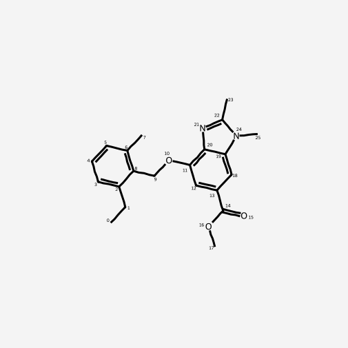 CCc1cccc(C)c1COc1cc(C(=O)OC)cc2c1nc(C)n2C